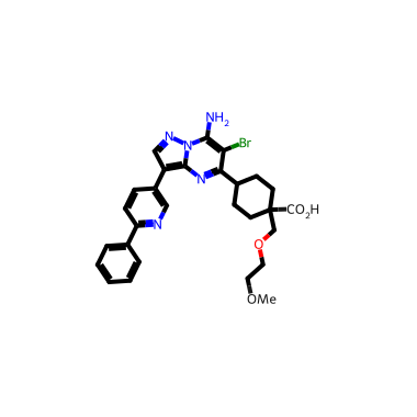 COCCOCC1(C(=O)O)CCC(c2nc3c(-c4ccc(-c5ccccc5)nc4)cnn3c(N)c2Br)CC1